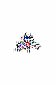 CCCC[C@H](NC(=O)OC(c1ccccc1)C(F)(F)c1cccc(F)c1)C(=O)N[C@@H](C[C@H]1CCNC1=O)C(=O)C(=O)NCC